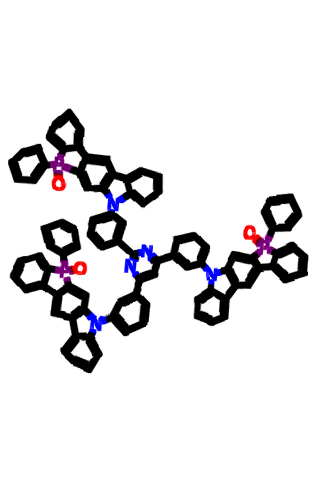 O=P1(c2ccccc2)c2ccccc2-c2cc3c4ccccc4n(-c4cccc(-c5cc(-c6cccc(-n7c8ccccc8c8cc9c(cc87)P(=O)(c7ccccc7)c7ccccc7-9)c6)nc(-c6cccc(-n7c8ccccc8c8cc9c(cc87)P(=O)(c7ccccc7)c7ccccc7-9)c6)n5)c4)c3cc21